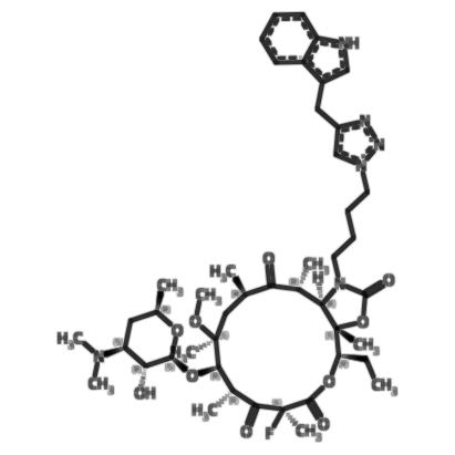 CC[C@H]1OC(=O)[C@@](C)(F)C(=O)[C@H](C)[C@@H](O[C@@H]2O[C@H](C)C[C@H](N(C)C)[C@H]2O)[C@@](C)(OC)C[C@@H](C)C(=O)[C@H](C)[C@H]2N(CCCCn3cc(Cc4c[nH]c5ccccc45)nn3)C(=O)O[C@]12C